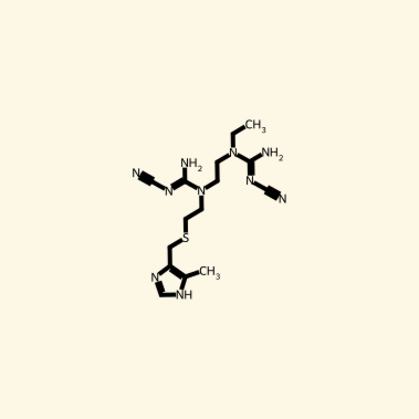 CCN(CCN(CCSCc1nc[nH]c1C)C(N)=NC#N)C(N)=NC#N